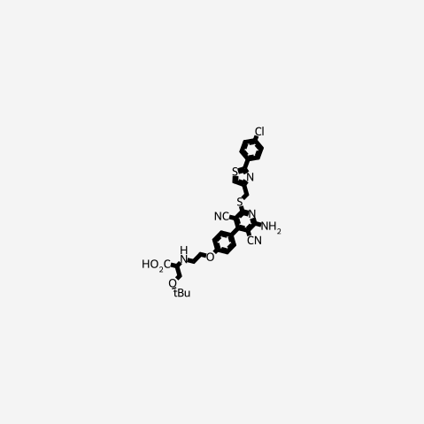 CC(C)(C)OCC(NCCOc1ccc(-c2c(C#N)c(N)nc(SCc3csc(-c4ccc(Cl)cc4)n3)c2C#N)cc1)C(=O)O